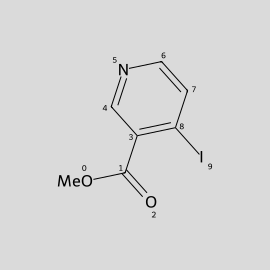 COC(=O)c1cnccc1I